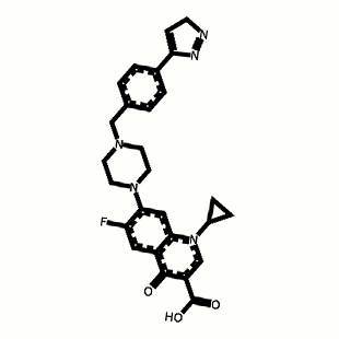 O=C(O)c1cn(C2CC2)c2cc(N3CCN(Cc4ccc(C5=CCN=N5)cc4)CC3)c(F)cc2c1=O